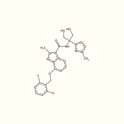 Cc1nc2c(OCc3c(F)cccc3F)cccn2c1C(=O)NC(CO)(CO)c1ccn(C)n1